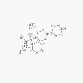 CC(C(=O)O)(N1CCN(C2CCNCC2)CC1)C1(NC=O)CCCCC1.Cl.Cl